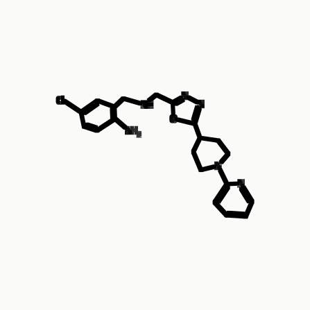 Nc1ccc(Cl)cc1CNCc1nnc(C2CCN(c3ccccn3)CC2)o1